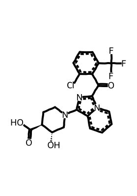 O=C(c1c(Cl)cccc1C(F)(F)F)c1nc(N2CC[C@H](C(=O)O)[C@@H](O)C2)c2ccccn12